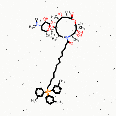 CC[C@H]1OC(=O)[C@H](C)[C@@H](O)[C@H](C)[C@@H](O[C@@H]2O[C@H](C)C[C@H](N(C)C)[C@H]2O)[C@](C)(O)C[C@@H](C)CN(C(=O)CCCCCCCCCCCCC[PH](c2cccc(C)c2)(c2cccc(C)c2)c2cccc(C)c2)[C@H](C)[C@@H](O)[C@]1(C)O